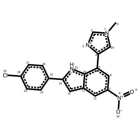 Cn1cnc(-c2cc([N+](=O)[O-])cc3cc(-c4ccc(Cl)cc4)[nH]c23)c1